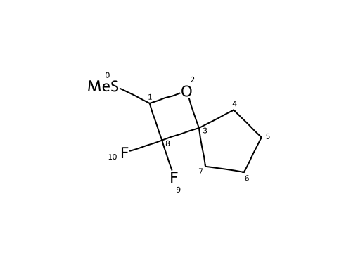 CSC1OC2(CCCC2)C1(F)F